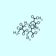 CCC(C(C)=O)C(=O)[O-].CCC(C(C)=O)C(=O)[O-].CCC(C(C)=O)C(=O)[O-].[Co+3]